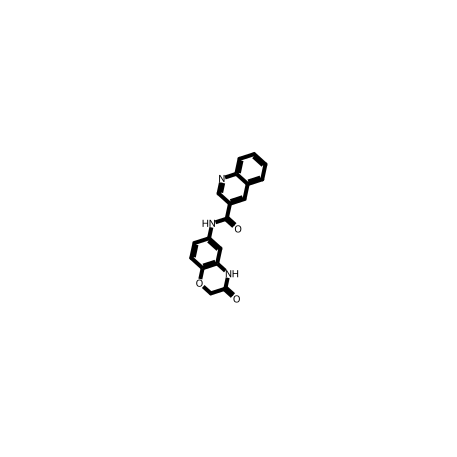 O=C1COc2ccc(NC(=O)c3cnc4ccccc4c3)cc2N1